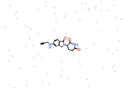 C#CCNc1ccc2c(c1)CN(C1CCC(=O)NC1=O)C2=O